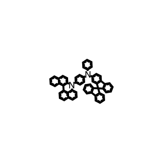 c1ccc(N(c2ccc(N3c4ccc5ccccc5c4-c4cccc5cccc3c45)cc2)c2ccc3c(c2)C2(c4ccccc4-c4ccccc42)c2ccccc2-3)cc1